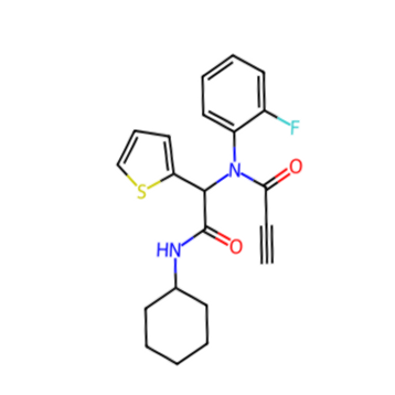 C#CC(=O)N(c1ccccc1F)C(C(=O)NC1CCCCC1)c1cccs1